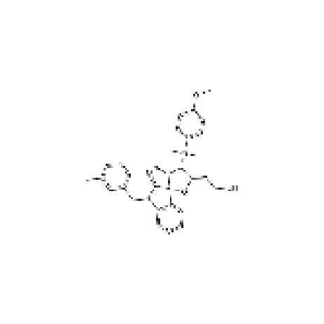 COc1ccc([Si](C)(C)[C@@H]2[C@@H](CCO)O[C@]3(C(=O)N(Cc4cccc(C)c4)c4ccccc43)[C@H]2C)cc1